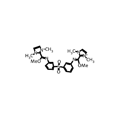 CO/C(=N\c1cccc(S(=O)(=O)c2cccc(/N=C(\OC)c3n(C)cc[n+]3C)c2)c1)c1n(C)cc[n+]1C